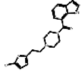 O=C(c1cccc2cc[nH]c12)N1CCN(CCc2ccc(Cl)s2)CC1